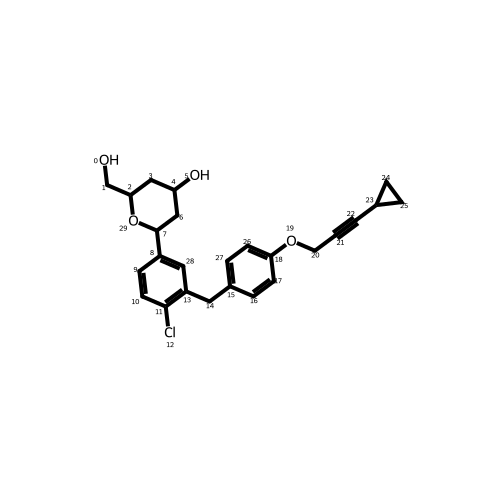 OCC1CC(O)CC(c2ccc(Cl)c(Cc3ccc(OCC#CC4CC4)cc3)c2)O1